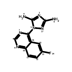 Nc1nc(N)n(-c2ncnc3ccc(F)cc23)n1